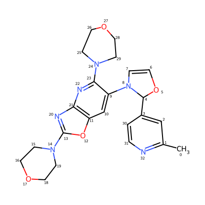 Cc1cc(C2OC=CN2c2cc3oc(N4CCOCC4)nc3nc2N2CCOCC2)ccn1